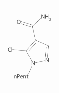 CCCCCn1ncc(C(N)=O)c1Cl